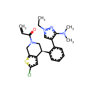 C=CC(=O)N1Cc2sc(Cl)cc2[C@H](c2ccccc2-c2cn(CC)nc2N(C)C)C1